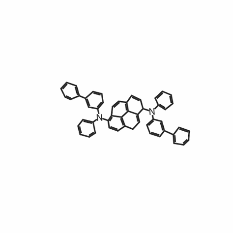 C1=CC(N(c2ccccc2)c2cccc(-c3ccccc3)c2)C2=CCc3ccc(N(c4ccccc4)c4cccc(-c5ccccc5)c4)c4ccc1c2c34